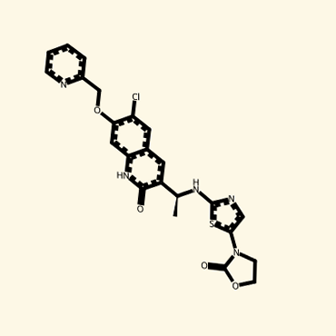 C[C@H](Nc1ncc(N2CCOC2=O)s1)c1cc2cc(Cl)c(OCc3ccccn3)cc2[nH]c1=O